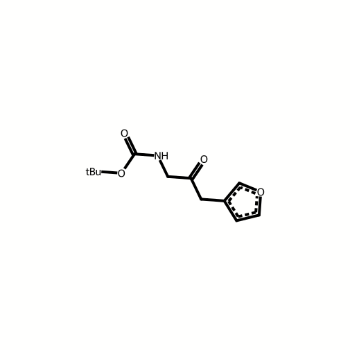 CC(C)(C)OC(=O)NCC(=O)Cc1ccoc1